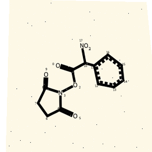 O=C(ON1C(=O)CCC1=O)C(c1ccccc1)[N+](=O)[O-]